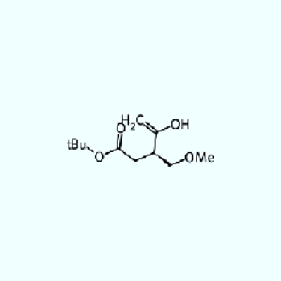 C=C(O)[C@@H](COC)CC(=O)OC(C)(C)C